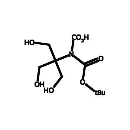 CC(C)(C)OC(=O)N(C(=O)O)C(CO)(CO)CO